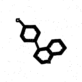 Clc1ccc(-c2ccnc3ccccc23)cc1